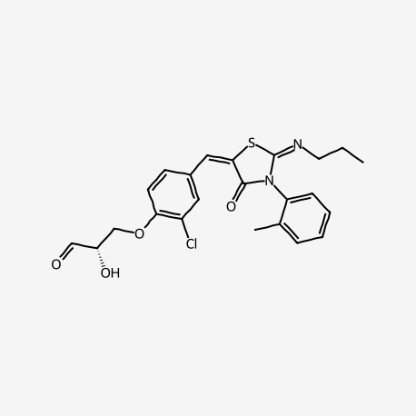 CCC/N=C1/S/C(=C/c2ccc(OC[C@H](O)C=O)c(Cl)c2)C(=O)N1c1ccccc1C